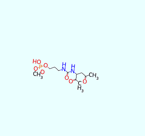 COP(=O)(O)OCCCNC(=O)NC(CC(C)=O)C(C)=O